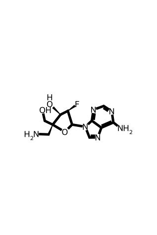 NC[C@]1(CO)OC(n2cnc3c(N)ncnc32)[C@H](F)[C@@H]1O